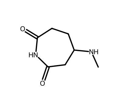 CNC1CCC(=O)NC(=O)C1